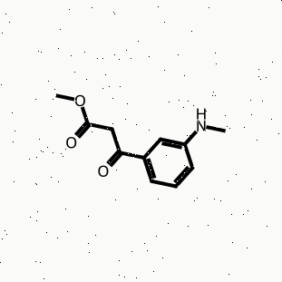 CNc1cccc(C(=O)CC(=O)OC)c1